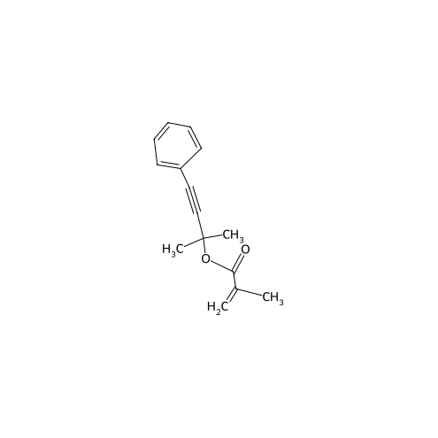 C=C(C)C(=O)OC(C)(C)C#Cc1ccccc1